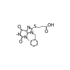 Cn1c(=O)c2nc(SCCC(=O)O)n(Cc3ccccc3)c2n(C)c1=O